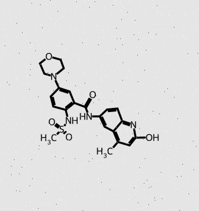 Cc1cc(O)nc2ccc(NC(=O)c3cc(N4CCOCC4)ccc3NS(C)(=O)=O)cc12